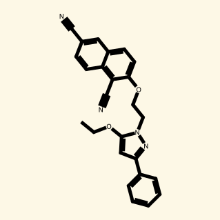 CCOc1cc(-c2ccccc2)nn1CCOc1ccc2cc(C#N)ccc2c1C#N